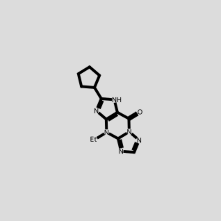 CCn1c2nc(C3CCCC3)[nH]c2c(=O)n2ncnc12